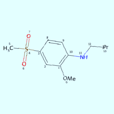 COc1cc(S(C)(=O)=O)ccc1NCC(C)C